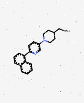 CNCC1CCN(c2ccc(-c3cccc4ccccc34)nc2)CC1